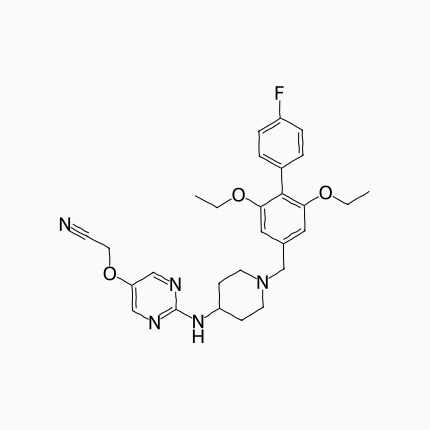 CCOc1cc(CN2CCC(Nc3ncc(OCC#N)cn3)CC2)cc(OCC)c1-c1ccc(F)cc1